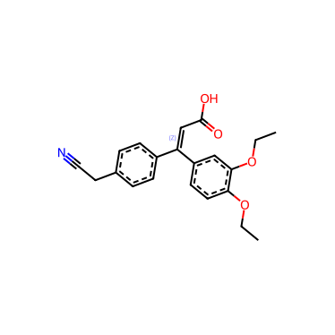 CCOc1ccc(/C(=C\C(=O)O)c2ccc(CC#N)cc2)cc1OCC